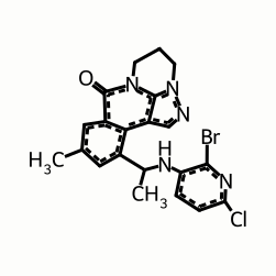 Cc1cc(C(C)Nc2ccc(Cl)nc2Br)c2c(c1)c(=O)n1c3c2cnn3CCC1